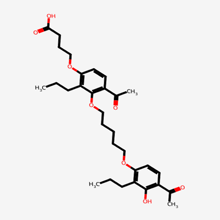 CCCc1c(OCCCCCOc2c(C(C)=O)ccc(OCCCC(=O)O)c2CCC)ccc(C(C)=O)c1O